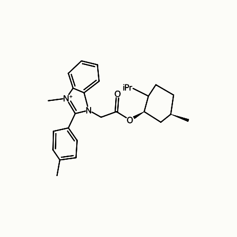 Cc1ccc(-c2n(CC(=O)O[C@@H]3C[C@H](C)CCC3C(C)C)c3ccccc3[n+]2C)cc1